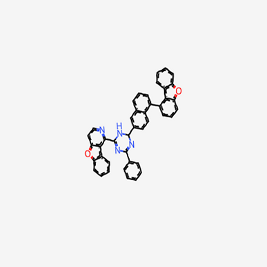 c1ccc(C2=NC(c3ccc4c(-c5cccc6oc7ccccc7c56)cccc4c3)NC(c3nccc4oc5ccccc5c34)=N2)cc1